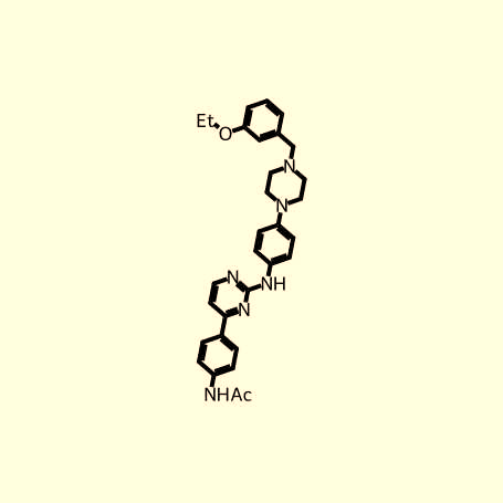 CCOc1cccc(CN2CCN(c3ccc(Nc4nccc(-c5ccc(NC(C)=O)cc5)n4)cc3)CC2)c1